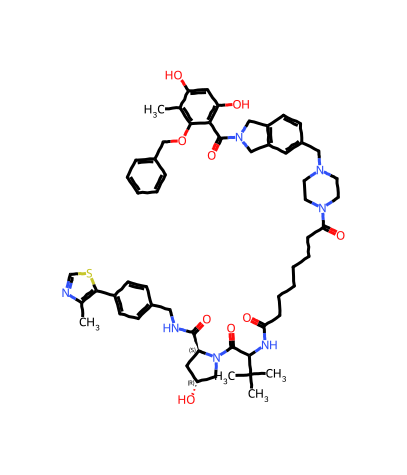 Cc1ncsc1-c1ccc(CNC(=O)[C@@H]2C[C@@H](O)CN2C(=O)C(NC(=O)CCCCCCC(=O)N2CCN(Cc3ccc4c(c3)CN(C(=O)c3c(O)cc(O)c(C)c3OCc3ccccc3)C4)CC2)C(C)(C)C)cc1